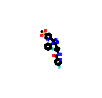 CS(=O)(=O)c1ccc(-c2nnc(C3CC(NC(=O)c4ccc(F)cn4)C3)n2-c2ccccc2F)nc1